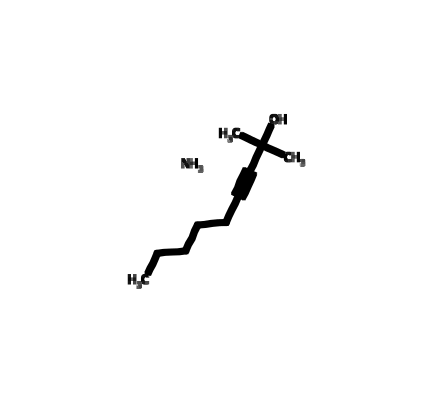 CCCCCC#CC(C)(C)O.N